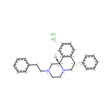 Cl.Cl.c1ccc(CCN2CCN3C[C@@H](c4ccccc4)c4ccccc4[C@H]3C2)cc1